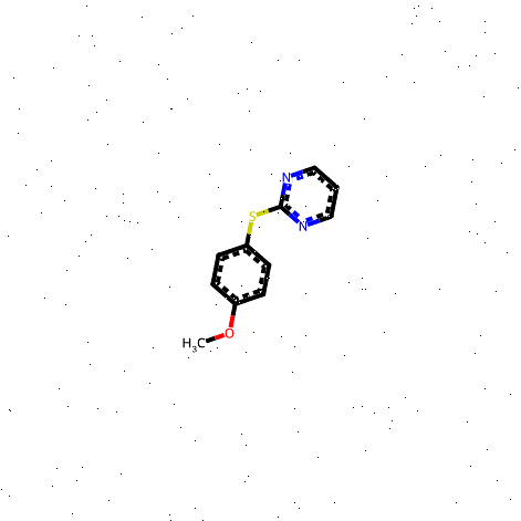 COc1ccc(Sc2ncccn2)cc1